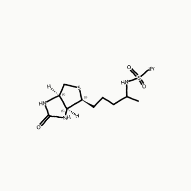 CC(CCC[C@@H]1SC[C@@H]2NC(=O)N[C@@H]21)NS(=O)(=O)C(C)C